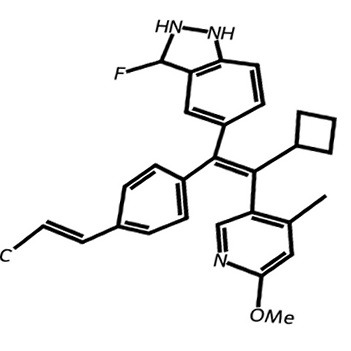 COc1cc(C)c(/C(=C(\c2ccc(/C=C/C(=O)O)cc2)c2ccc3c(c2)C(F)NN3)C2CCC2)cn1